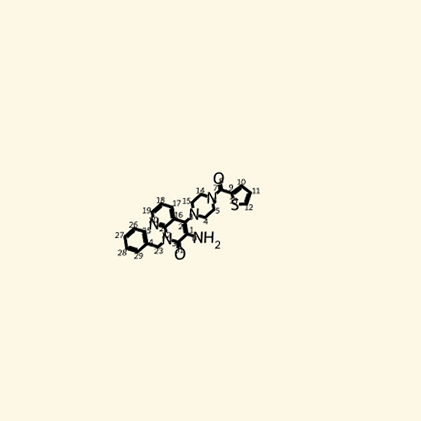 Nc1c(N2CCN(C(=O)c3cccs3)CC2)c2cccnc2n(Cc2ccccc2)c1=O